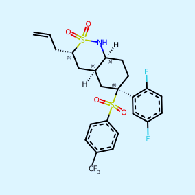 C=CC[C@H]1C[C@@H]2C[C@](c3cc(F)ccc3F)(S(=O)(=O)c3ccc(C(F)(F)F)cc3)CC[C@@H]2NS1(=O)=O